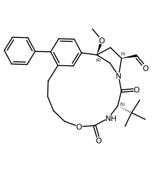 CO[C@@]12C[C@@H](C=O)N(C1)C(=O)[C@H](C(C)(C)C)NC(=O)OCCCCc1cc2ccc1-c1ccccc1